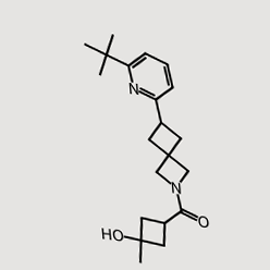 CC1(O)CC(C(=O)N2CC3(CC(c4cccc(C(C)(C)C)n4)C3)C2)C1